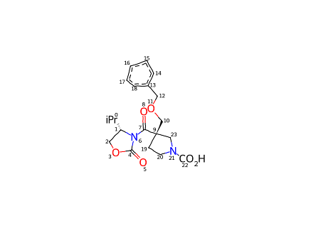 CC(C)[C@H]1COC(=O)N1C(=O)[C@@]1(COCc2ccccc2)CCN(C(=O)O)C1